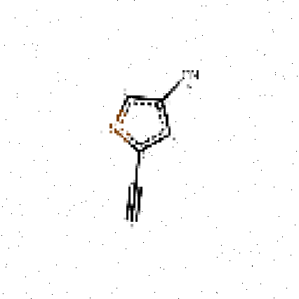 C#Cc1cc(C#N)cs1